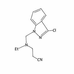 CCN(CCC#N)Cn1nc(Cl)c2ccccc21